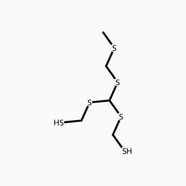 CSCSC(SCS)SCS